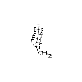 C=COOC(F)(F)C(F)(F)C(F)(F)C(F)(F)F